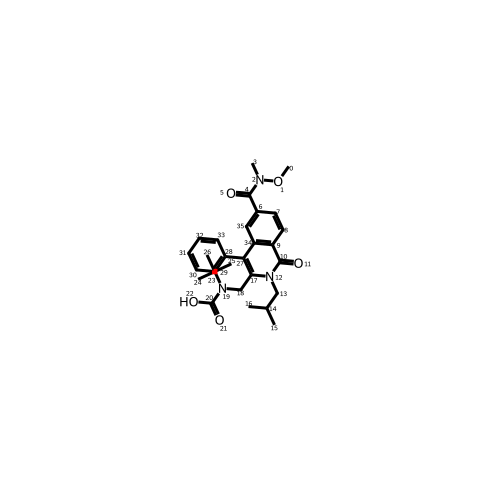 CON(C)C(=O)c1ccc2c(=O)n(CC(C)C)c(CN(C(=O)O)C(C)(C)C)c(-c3ccccc3)c2c1